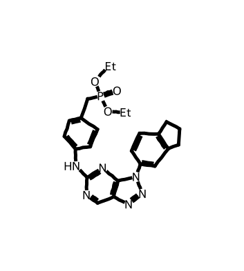 CCOP(=O)(Cc1ccc(Nc2ncc3nnn(-c4ccc5c(c4)CCC5)c3n2)cc1)OCC